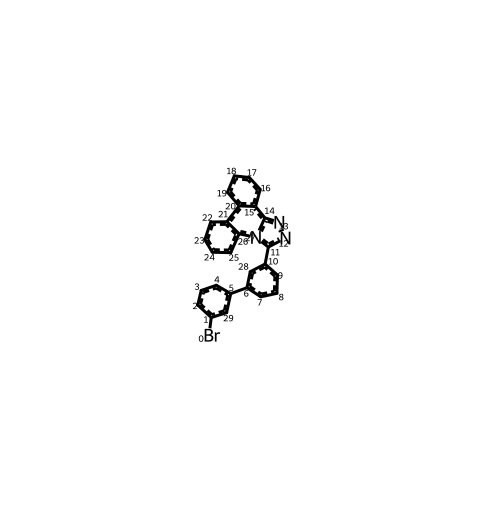 Brc1cccc(-c2cccc(-c3nnc4c5ccccc5c5ccccc5n34)c2)c1